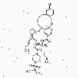 C=CCC[C@H](C(=O)N1CCN(S(=O)(=O)N(C)C)CC1)S(=O)(=O)NC(=O)c1ccc2c(c1)N(C[C@@H]1CC[C@H]1[C@H](/C=C/CC)OC)CCCCc1cc(Cl)ccc1CO2